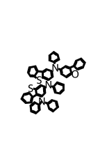 c1ccc(N(c2ccc3oc4ccccc4c3c2)c2cc(N(c3ccccc3)c3cc(N(c4ccccc4)c4ccccc4)c4c(c3)sc3ccccc34)c3sc4ccccc4c3c2)cc1